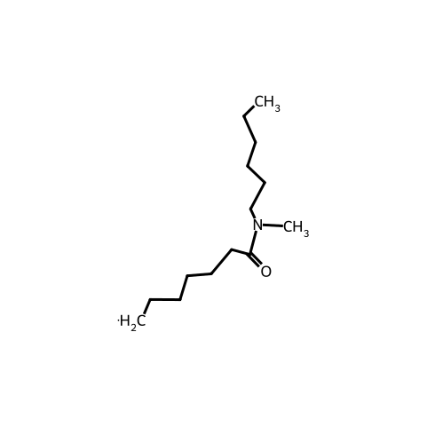 [CH2]CCCCCC(=O)N(C)CCCCCC